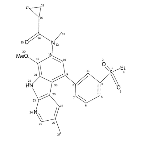 CCS(=O)(=O)c1cccc(-c2cc(N(C)C(=O)C3CC3)c(OC)c3[nH]c4ncc(C)cc4c23)c1